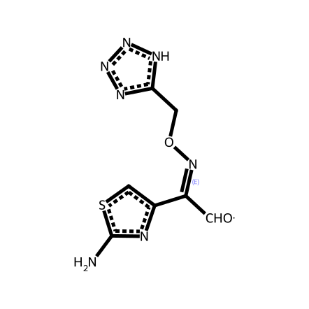 Nc1nc(/C([C]=O)=N\OCc2nnn[nH]2)cs1